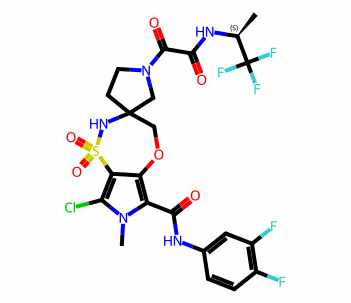 C[C@H](NC(=O)C(=O)N1CCC2(COc3c(c(Cl)n(C)c3C(=O)Nc3ccc(F)c(F)c3)S(=O)(=O)N2)C1)C(F)(F)F